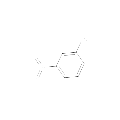 N#Cc1cccc([SH](=O)=O)c1